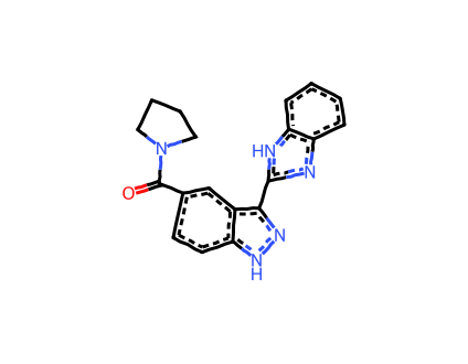 O=C(c1ccc2[nH]nc(-c3nc4ccccc4[nH]3)c2c1)N1CCCC1